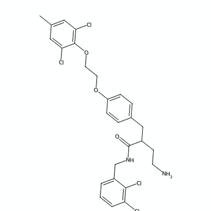 Cc1cc(Cl)c(OCCOc2ccc(CC(CCN)C(=O)NCc3cccc(Cl)c3Cl)cc2)c(Cl)c1